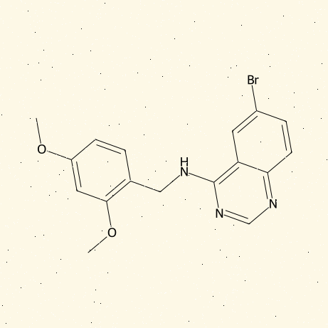 COc1ccc(CNc2ncnc3ccc(Br)cc23)c(OC)c1